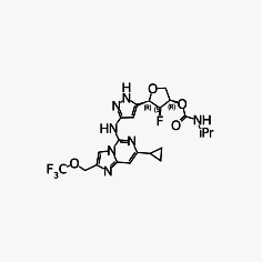 CC(C)NC(=O)O[C@@H]1CO[C@H](c2cc(Nc3nc(C4CC4)cc4nc(COC(F)(F)F)cn34)n[nH]2)[C@@H]1F